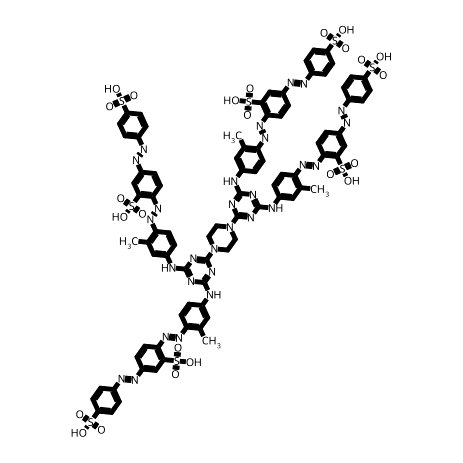 Cc1cc(Nc2nc(Nc3ccc(N=Nc4ccc(N=Nc5ccc(S(=O)(=O)O)cc5)cc4S(=O)(=O)O)c(C)c3)nc(N3CCN(c4nc(Nc5ccc(N=Nc6ccc(N=Nc7ccc(S(=O)(=O)O)cc7)cc6S(=O)(=O)O)c(C)c5)nc(Nc5ccc(N=Nc6ccc(N=Nc7ccc(S(=O)(=O)O)cc7)cc6S(=O)(=O)O)c(C)c5)n4)CC3)n2)ccc1N=Nc1ccc(N=Nc2ccc(S(=O)(=O)O)cc2)cc1S(=O)(=O)O